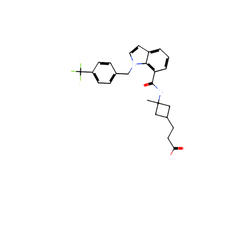 CC1(NC(=O)c2cccc3ccn(Cc4ccc(C(F)(F)F)cc4)c23)CC(CCC(=O)O)C1